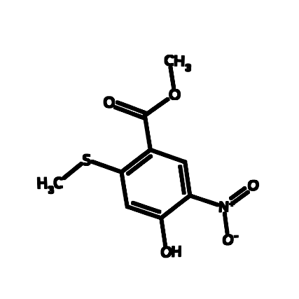 COC(=O)c1cc([N+](=O)[O-])c(O)cc1SC